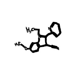 CCN1c2cc(OC)ccc2C(C#N)C1c1ccccn1